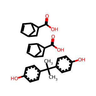 CC(C)(c1ccc(O)cc1)c1ccc(O)cc1.O=C(O)C1CC2C=CC1C2.O=C(O)C1CC2C=CC1C2